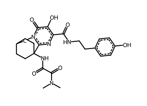 CN(C)C(=O)C(=O)NC12CCC(CC1)Cn1c2nc(C(=O)NCCc2ccc(O)cc2)c(O)c1=O